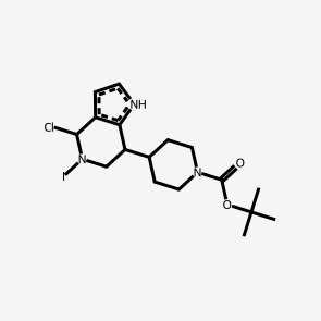 CC(C)(C)OC(=O)N1CCC(C2CN(I)C(Cl)c3cc[nH]c32)CC1